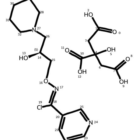 O=C(O)CC(O)(CC(=O)O)C(=O)O.O[C@H](CON=C(Cl)c1cccnc1)CN1CCCCC1